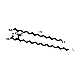 CCCCCCCCCCCCCCCCCCC(=CC(=O)O)C(=O)O.CCCCCCCCCCCCCCCCCCO.[NaH]